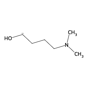 CN(C)CCC[C]O